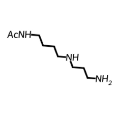 CC(=O)NCCCCNCCCN